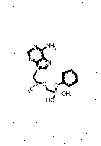 C[C@H](Cn1cnc2c(N)ncnc21)OC[PH](O)(O)Oc1ccccc1